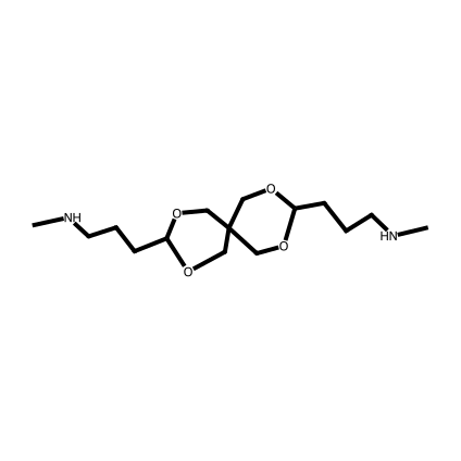 CNCCCC1OCC2(CO1)COC(CCCNC)OC2